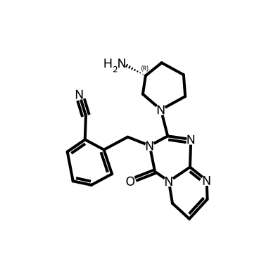 N#Cc1ccccc1CN1C(=O)N2CC=CN=C2N=C1N1CCC[C@@H](N)C1